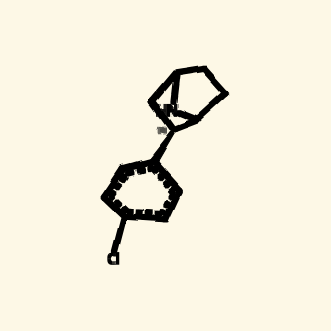 Clc1ccc([C@H]2CC3CCC2N3)cc1